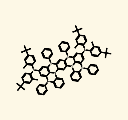 Cc1cc(C(C)(C)C)ccc1N(c1cc2c3c(c1)n(-c1ccccc1)c1cc4c(cc1n3c1ccccc1n2-c1ccccc1)n1c2ccccc2n(-c2ccccc2)c2cc(N(c3ccc(C(C)(C)C)cc3C)c3ccc(C(C)(C)C)cc3C)cc(c21)n4-c1ccccc1)c1ccc(C(C)(C)C)cc1C